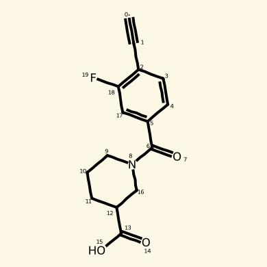 [C]#Cc1ccc(C(=O)N2CCCC(C(=O)O)C2)cc1F